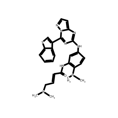 CN(C)CC=CC(=O)Nc1cc(Nc2nc(-c3csc4ccccc34)n3nccc3n2)ccc1N(C)C